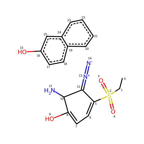 CCS(=O)(=O)C1=CC=C(O)C(N)C1=[N+]=[N-].Oc1ccc2ccccc2c1